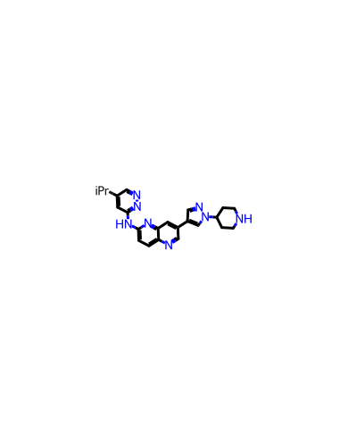 CC(C)c1cnnc(Nc2ccc3ncc(-c4cnn(C5CCNCC5)c4)cc3n2)c1